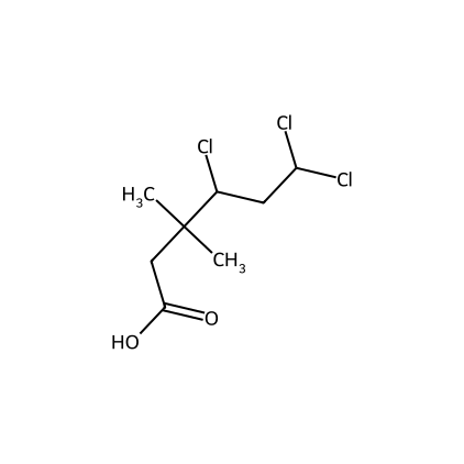 CC(C)(CC(=O)O)C(Cl)CC(Cl)Cl